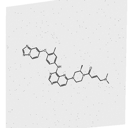 Cc1cc(Nc2ncnc3ccc(N4CCN(C(=O)/C=C/CN(C)C)[C@H](C)C4)nc23)ccc1Oc1ccn2ncnc2c1